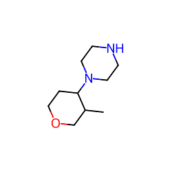 CC1COCCC1N1CCNCC1